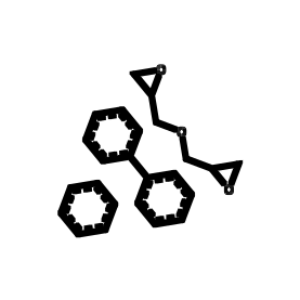 C(OCC1CO1)C1CO1.c1ccc(-c2ccccc2)cc1.c1ccccc1